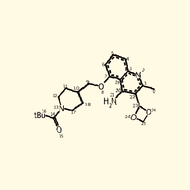 Cc1nc2cccc(OCC3CCN(C(=O)C(C)(C)C)CC3)c2c(N)c1I1OCO1